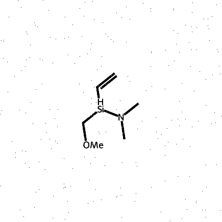 C=C[SiH](COC)N(C)C